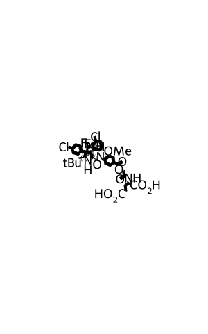 COc1cc(C(=O)OCC(=O)N[C@@H](CCC(=O)O)C(=O)O)ccc1NC(=O)[C@@H]1N[C@@H](CC(C)(C)C)[C@](C=N)(c2ccc(Cl)cc2F)[C@H]1c1cccc(Cl)c1F